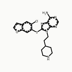 Nc1ncnc2c1nc(Sc1cc3occc3cc1Cl)n2CCC1CCNCC1